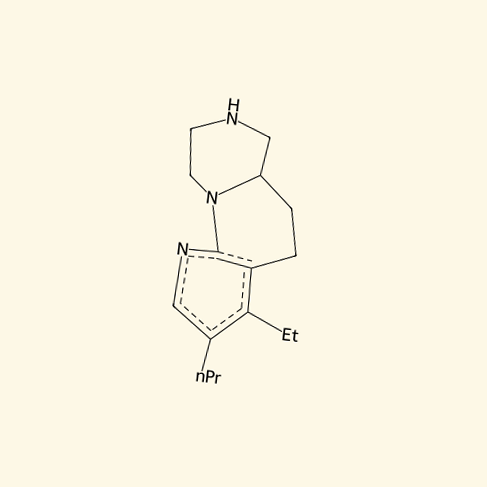 CCCc1cnc2c(c1CC)CCC1CNCCN21